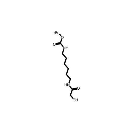 CC(C)(C)OC(=O)NCCCCCCNC(=O)CS